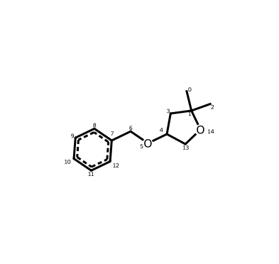 CC1(C)CC(OCc2ccccc2)CO1